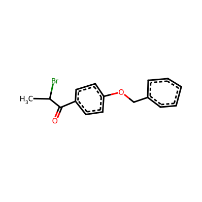 CC(Br)C(=O)c1ccc(OCc2ccccc2)cc1